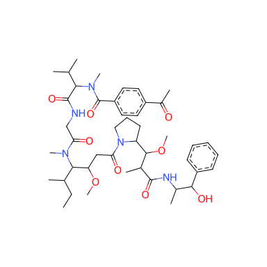 CCC(C)C(C(CC(=O)N1CCCC1C(OC)C(C)C(=O)NC(C)C(O)c1ccccc1)OC)N(C)C(=O)CNC(=O)C(C(C)C)N(C)C(=O)c1ccc(C(C)=O)cc1